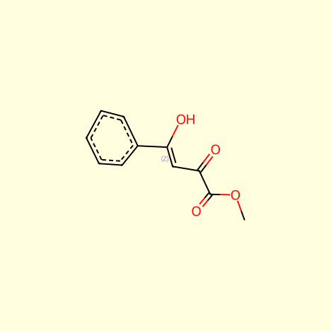 COC(=O)C(=O)/C=C(\O)c1ccccc1